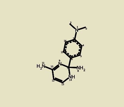 CN(C)c1ccc(C2(N)N=C(N)C=CN2)cc1